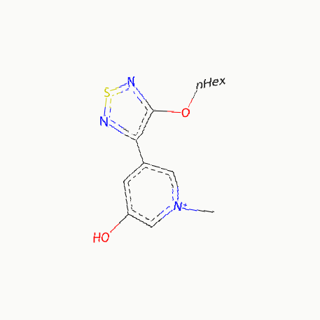 CCCCCCOc1nsnc1-c1cc(O)c[n+](C)c1